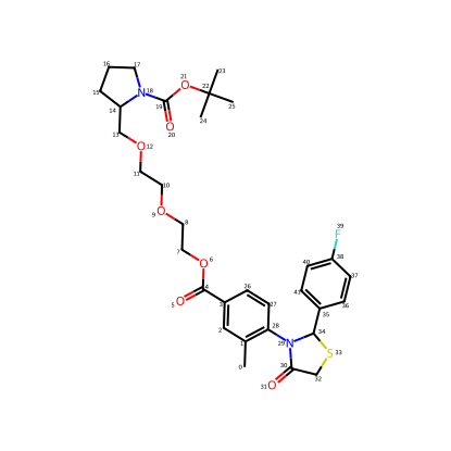 Cc1cc(C(=O)OCCOCCOCC2CCCN2C(=O)OC(C)(C)C)ccc1N1C(=O)CSC1c1ccc(F)cc1